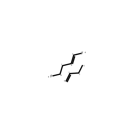 C=CCC.FC=CCCF